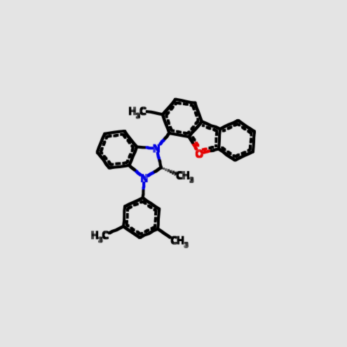 Cc1cc(C)cc(N2c3ccccc3N(c3c(C)ccc4c3oc3ccccc34)[C@@H]2C)c1